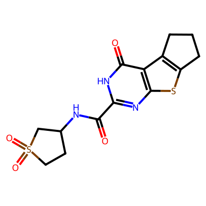 O=C(NC1CCS(=O)(=O)C1)c1nc2sc3c(c2c(=O)[nH]1)CCC3